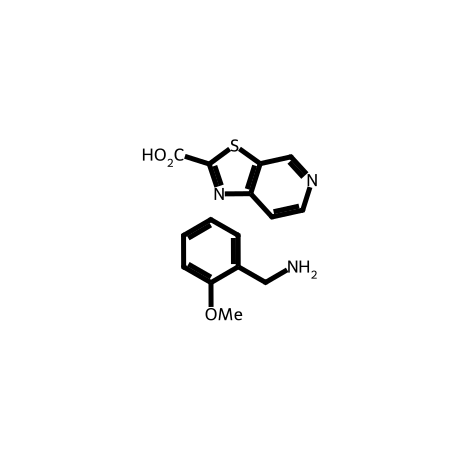 COc1ccccc1CN.O=C(O)c1nc2ccncc2s1